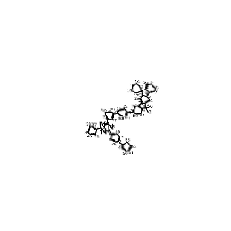 CC1(C)C2=CC3c4ccccc4C4(CCCCC4)C3C=C2c2cc(-c3ccc(-c4cccc(-c5nc(-c6ccccc6)nc(-c6ccc(C7C=CC=CC7)cc6)n5)c4)cc3)ccc21